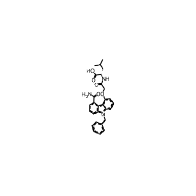 CC(C)C[C@H](NC(=O)COc1cccc2c1c1c(C(N)=O)cccc1n2Cc1ccccc1)C(=O)O